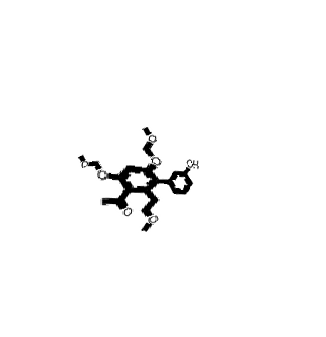 COCCc1c(C(C)=O)c(OCOC)cc(OCOC)c1-c1cccc(O)c1